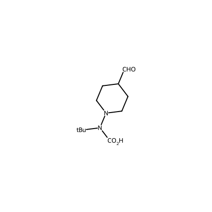 CC(C)(C)N(C(=O)O)N1CCC(C=O)CC1